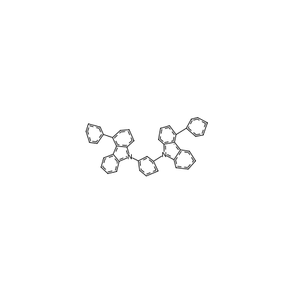 c1ccc(-c2cccc3c2c2ccccc2n3-c2cccc(-n3c4ccccc4c4c(-c5ccccc5)cccc43)c2)cc1